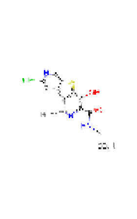 Cc1nc(C(=O)NCC(=O)O)c(O)c2sc3cnc(Cl)cc3c12